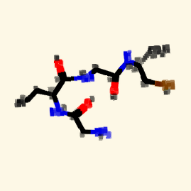 CC(C)C[C@H](NC(=O)CN)C(=O)NCC(=O)N[C@@H](CS)C(=O)O